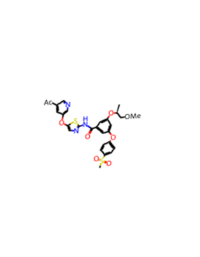 COC[C@H](C)Oc1cc(Oc2ccc(S(C)(=O)=O)cc2)cc(C(=O)Nc2ncc(Oc3cncc(C(C)=O)c3)s2)c1